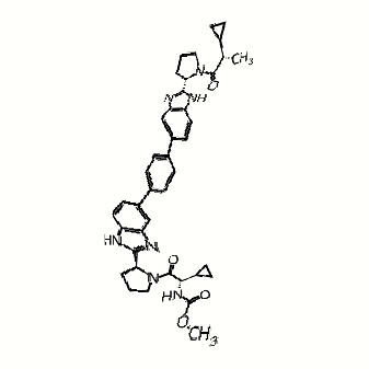 COC(=O)N[C@H](C(=O)N1CCC[C@H]1c1nc2cc(-c3ccc(-c4ccc5[nH]c([C@@H]6CCCN6C(=O)[C@@H](C)C6CC6)nc5c4)cc3)ccc2[nH]1)C1CC1